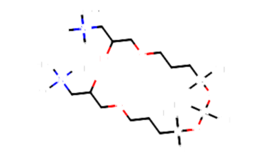 CCCCCC[N+](C)(C)CC(O)COCCC[Si](C)(C)O[Si](C)(C)O[Si](C)(C)CCCOCC(O)C[N+](C)(C)CCCCCC